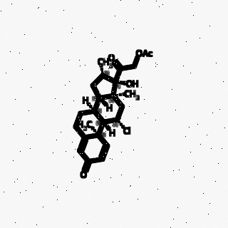 CC(=O)OCC(=O)[C@@]1(O)[C@@H](C)C[C@H]2[C@@H]3CCC4=CC(=O)C=C[C@]4(C)[C@H]3[C@@H](Cl)C[C@@]21C